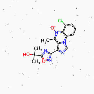 Cc1c2c(-c3noc(C(C)(C)O)n3)ncn2c2cccc(Cl)c2[n+]1[O-]